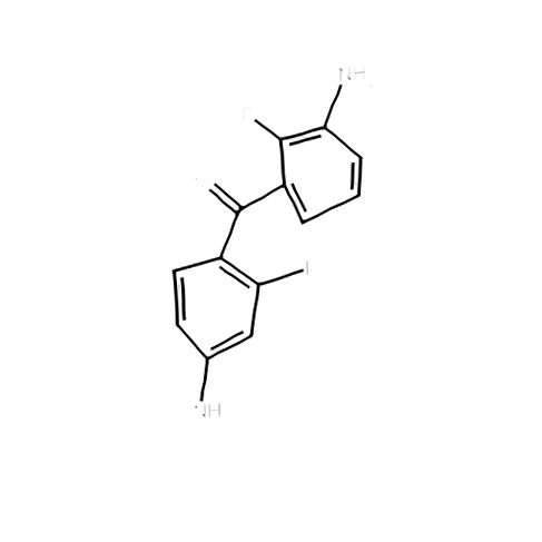 Nc1ccc(C(=O)c2cccc(N)c2F)c(F)c1